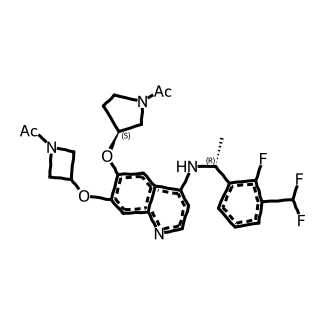 CC(=O)N1CC(Oc2cc3nccc(N[C@H](C)c4cccc(C(F)F)c4F)c3cc2O[C@H]2CCN(C(C)=O)C2)C1